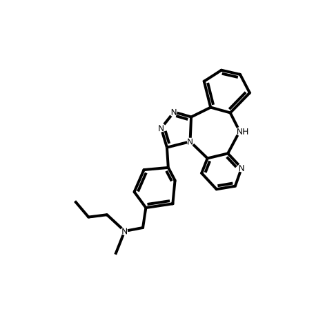 CCCN(C)Cc1ccc(-c2nnc3n2-c2cccnc2Nc2ccccc2-3)cc1